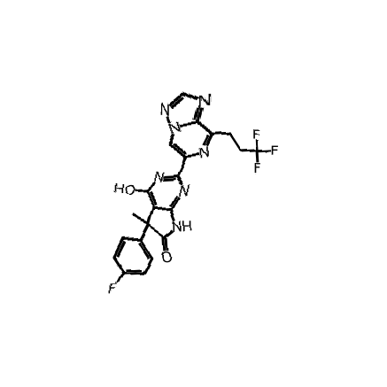 CC1(c2ccc(F)cc2)C(=O)Nc2nc(-c3cn4ncnc4c(CCC(F)(F)F)n3)nc(O)c21